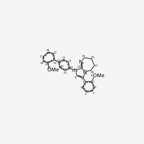 COc1ccccc1C1=CN(c2ccc(-c3ccccc3OC)cc2)C2=NCCCCN12